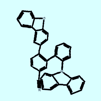 N#Cc1ccc(-c2ccc3oc4ccccc4c3c2)c(-c2ccccc2-n2c3ccccc3c3ccccc32)c1